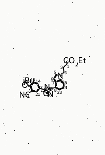 CCOC(=O)CCCn1ccc2c(-c3noc(-c4ccc(O[C@@H](C)CC)c(C#N)c4)n3)cccc21